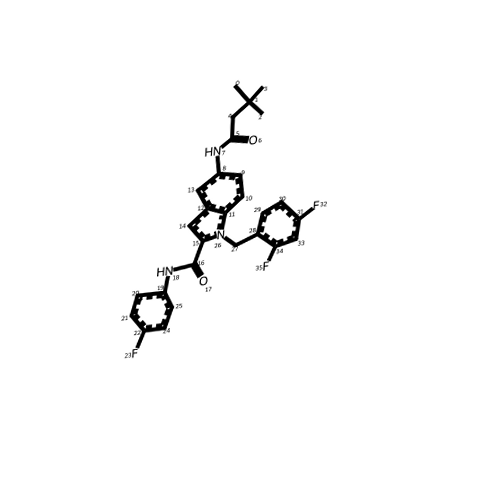 CC(C)(C)CC(=O)Nc1ccc2c(c1)cc(C(=O)Nc1ccc(F)cc1)n2Cc1ccc(F)cc1F